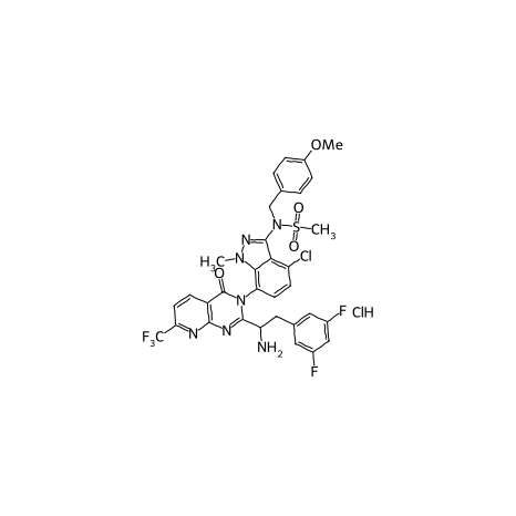 COc1ccc(CN(c2nn(C)c3c(-n4c(C(N)Cc5cc(F)cc(F)c5)nc5nc(C(F)(F)F)ccc5c4=O)ccc(Cl)c23)S(C)(=O)=O)cc1.Cl